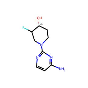 Nc1ccnc(N2CC[C@@H](O)C(F)C2)n1